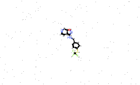 FC(F)(F)Sc1ccc(CNc2noc3cnccc23)cc1